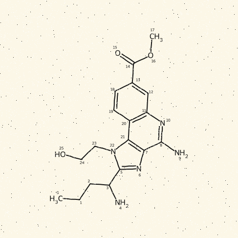 CCCC(N)c1nc2c(N)nc3cc(C(=O)OC)ccc3c2n1CCO